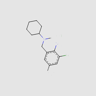 CCN(Cc1cc(C(=O)O)cc(Br)c1N)C1CCCCC1.Cl